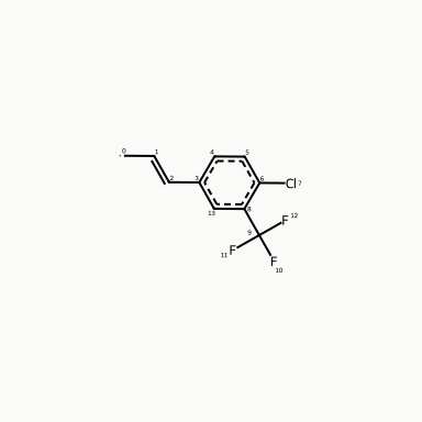 [CH2]/C=C/c1ccc(Cl)c(C(F)(F)F)c1